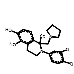 CC(=O)C1(CN2CCCC2)c2ccc(O)c(O)c2CCN1c1ccc(Cl)c(Cl)c1